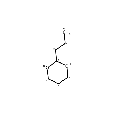 CCC[C]1OCCCO1